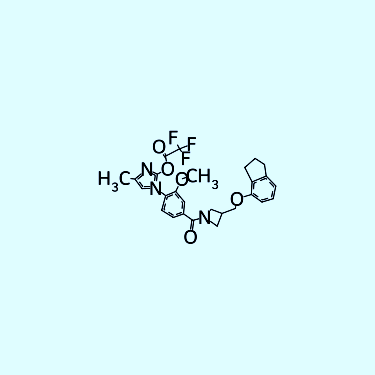 COc1cc(C(=O)N2CC(COc3cccc4c3CCC4)C2)ccc1-n1cc(C)nc1OC(=O)C(F)(F)F